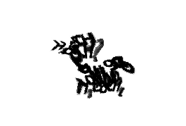 CSC(C)(C)C(=O)OCc1ccc(NC(=O)[C@H](C)NC(=O)[C@H](C)NC(=O)CCN2C(=O)C=CC2=O)cc1